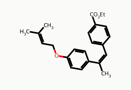 CCOC(=O)c1ccc(C=C(C)c2ccc(OCC=C(C)C)cc2)cc1